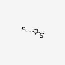 O=C(O)c1ccc(CC=CO)s1